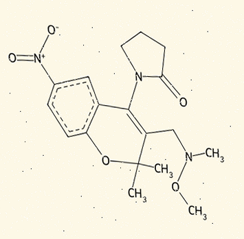 CON(C)CC1=C(N2CCCC2=O)c2cc([N+](=O)[O-])ccc2OC1(C)C